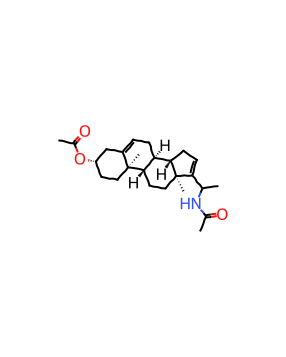 CC(=O)NC(C)C1=CC[C@H]2[C@@H]3CC=C4C[C@@H](OC(C)=O)CC[C@]4(C)[C@H]3CC[C@]12C